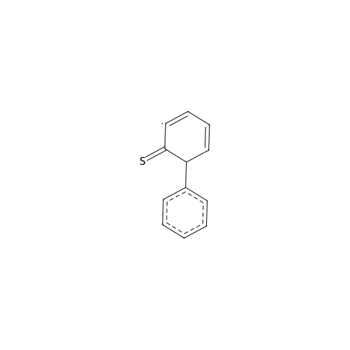 S=C1[C]=CC=CC1c1ccccc1